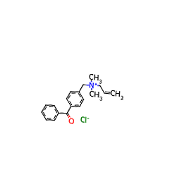 C=CC[N+](C)(C)Cc1ccc(C(=O)c2ccccc2)cc1.[Cl-]